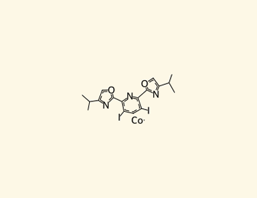 CC(C)c1coc(-c2nc(-c3nc(C(C)C)co3)c(I)cc2I)n1.[Co]